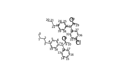 CCCCc1ccc(C(C(C)=O)c2ccccc2)cc1.CCCc1ccc(C(C(C)=O)c2ccc(Cl)cc2)cc1